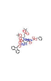 CC(C)(C)OC(=O)CCC(NC(=O)C(CCC(=O)NCC(=O)OCc1ccccc1)NC(=O)OCC1c2ccccc2-c2ccccc21)C(=O)OC(C)(C)C